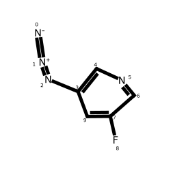 [N-]=[N+]=Nc1cncc(F)c1